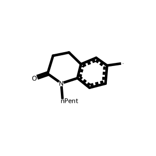 [CH2]c1ccc2c(c1)CCC(=O)N2CCCCC